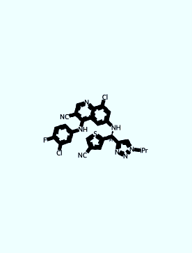 CC(C)n1cc([C@@H](Nc2cc(Cl)c3ncc(C#N)c(Nc4ccc(F)c(Cl)c4)c3c2)c2cc(C#N)cs2)nn1